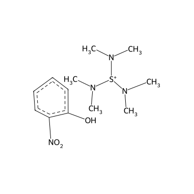 CN(C)[S+](N(C)C)N(C)C.O=[N+]([O-])c1ccccc1O